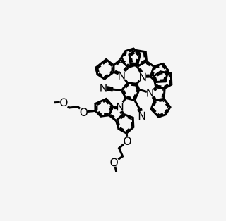 COCCOc1ccc2c(c1)c1cc(OCCOC)ccc1n2-c1c(C#N)c(-n2c3ccccc3c3ccccc32)c(-n2c3ccccc3c3ccccc32)c(-n2c3ccccc3c3ccccc32)c1C#N